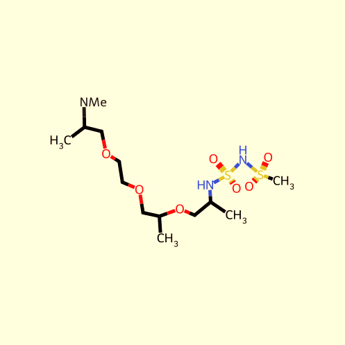 CNC(C)COCCOCC(C)OCC(C)NS(=O)(=O)NS(C)(=O)=O